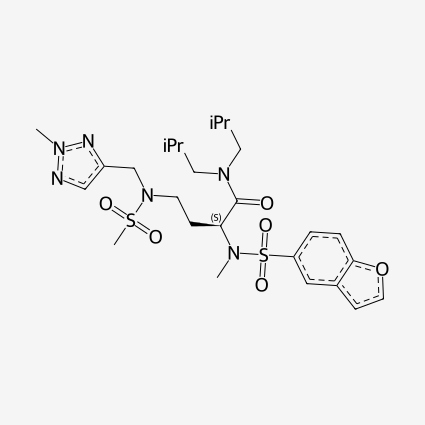 CC(C)CN(CC(C)C)C(=O)[C@H](CCN(Cc1cnn(C)n1)S(C)(=O)=O)N(C)S(=O)(=O)c1ccc2occc2c1